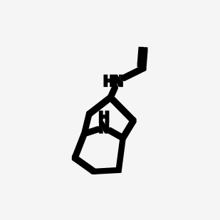 C=CNC1CC2CCCC(C1)N2